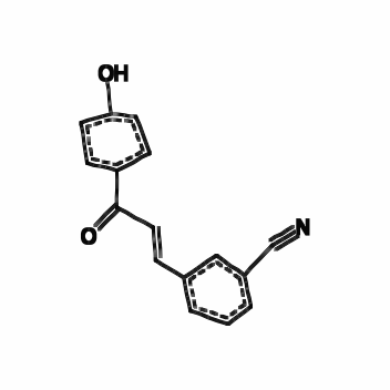 N#Cc1cccc(C=CC(=O)c2ccc(O)cc2)c1